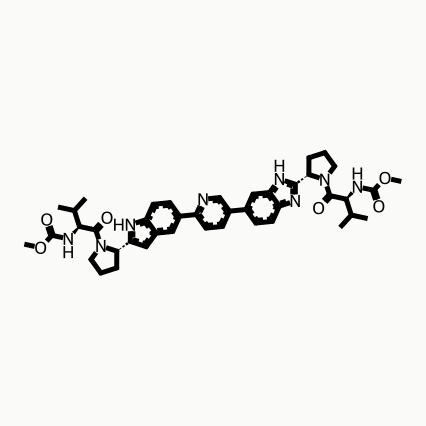 COC(=O)N[C@H](C(=O)N1CCC[C@H]1c1cc2cc(-c3ccc(-c4ccc5nc([C@@H]6CCCN6C(=O)[C@@H](NC(=O)OC)C(C)C)[nH]c5c4)cn3)ccc2[nH]1)C(C)C